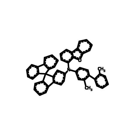 Cc1ccccc1-c1ccc(N(c2ccc3c(c2)C2(c4ccccc4-c4ccccc42)c2ccccc2-3)c2cccc3c2oc2ccccc23)cc1C